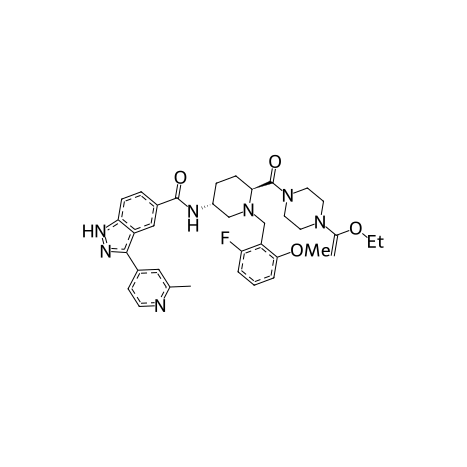 C=C(OCC)N1CCN(C(=O)[C@@H]2CC[C@@H](NC(=O)c3ccc4[nH]nc(-c5ccnc(C)c5)c4c3)CN2Cc2c(F)cccc2OC)CC1